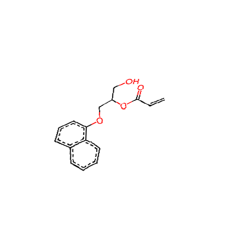 C=CC(=O)OC(CO)COc1cccc2ccccc12